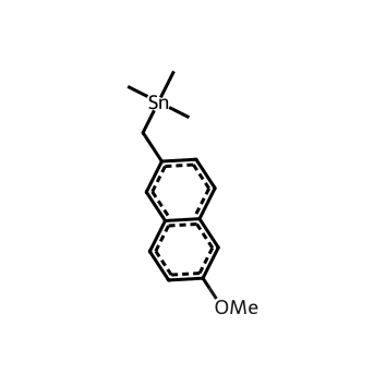 COc1ccc2cc([CH2][Sn]([CH3])([CH3])[CH3])ccc2c1